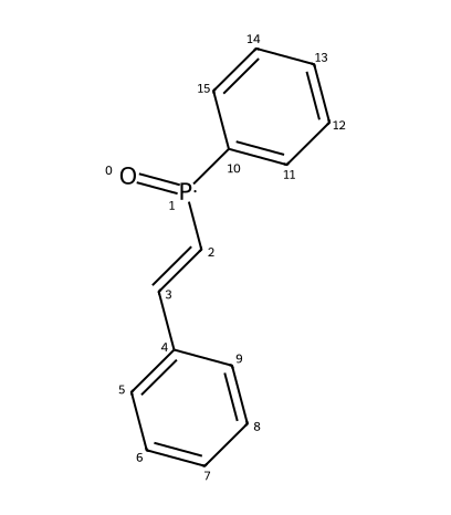 O=[P](C=Cc1ccccc1)c1ccccc1